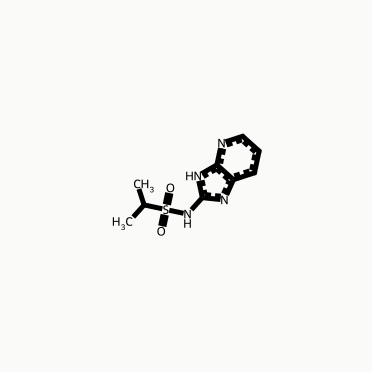 CC(C)S(=O)(=O)Nc1nc2cccnc2[nH]1